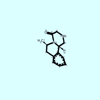 C[C@@H]1Cc2ccccc2[C@H]2CNCC(=O)N12